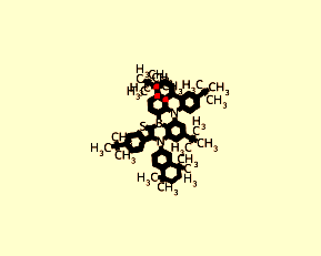 CC(C)(C)c1ccc(-c2cc(C(C)(C)C)ccc2N2c3cc(C(C)(C)C)ccc3B3c4sc5cc(C(C)(C)C)ccc5c4N(c4ccc5c(c4)C(C)(C)CCC5(C)C)c4cc(C(C)(C)C)cc2c43)cc1